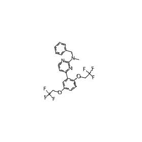 CN(Cc1ccccc1)c1nccc(-c2cc(OCC(F)(F)F)ccc2OCC(F)(F)F)n1